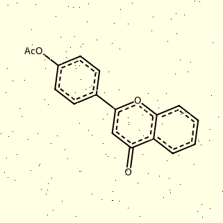 CC(=O)Oc1ccc(-c2cc(=O)c3ccccc3o2)cc1